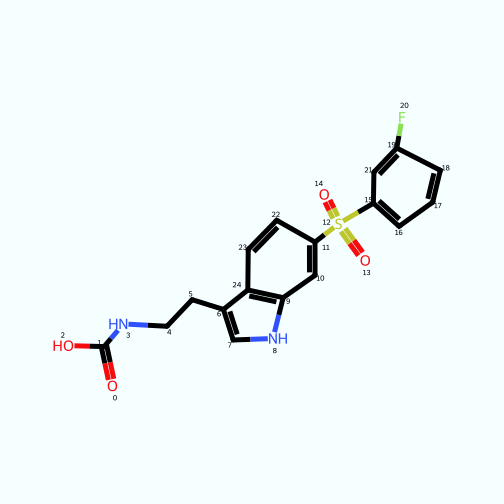 O=C(O)NCCc1c[nH]c2cc(S(=O)(=O)c3cccc(F)c3)ccc12